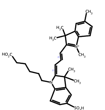 Cc1ccc2c(c1)C(C)(C)C(/C=C/C=C1/N(CCCCCC(=O)O)c3ccc(S(=O)(=O)O)cc3C1(C)C)=[N+]2C